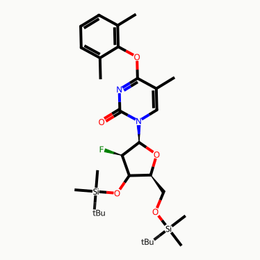 Cc1cn([C@H]2O[C@@H](CO[Si](C)(C)C(C)(C)C)C(O[Si](C)(C)C(C)(C)C)[C@H]2F)c(=O)nc1Oc1c(C)cccc1C